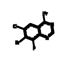 CC(C)c1ncnc2c(F)c(Br)c(Cl)cc12